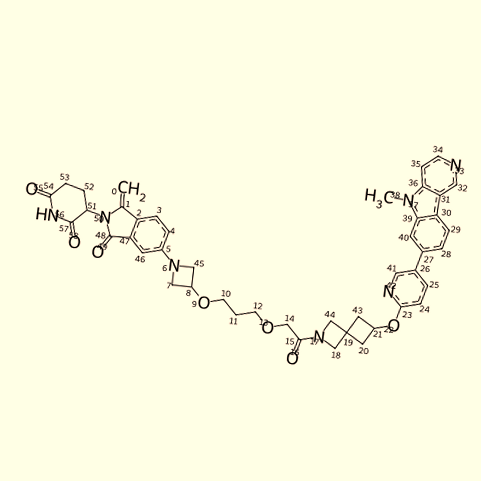 C=C1c2ccc(N3CC(OCCCOCC(=O)N4CC5(CC(Oc6ccc(-c7ccc8c9cnccc9n(C)c8c7)cn6)C5)C4)C3)cc2C(=O)N1C1CCC(=O)NC1=O